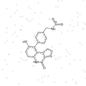 O=c1[nH]c2ccc(O)c(-c3ccc(CN[SH](=O)=O)cc3)c2c2ccsc12